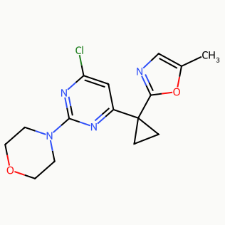 Cc1cnc(C2(c3cc(Cl)nc(N4CCOCC4)n3)CC2)o1